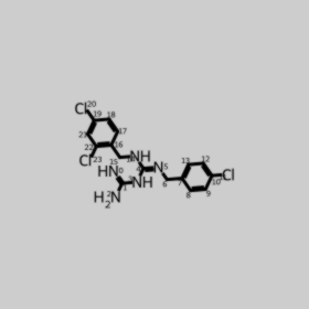 N=C(N)NC(=NCc1ccc(Cl)cc1)NCc1ccc(Cl)cc1Cl